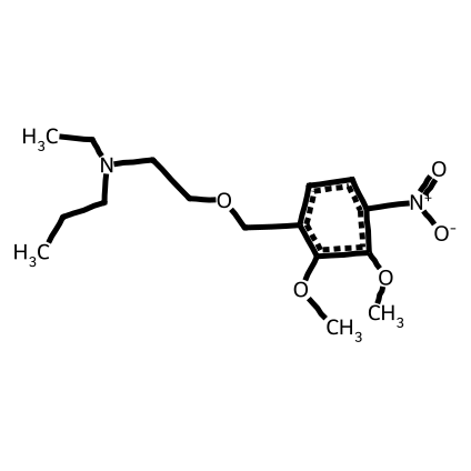 CCCN(CC)CCOCc1ccc([N+](=O)[O-])c(OC)c1OC